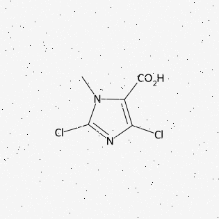 Cn1c(Cl)nc(Cl)c1C(=O)O